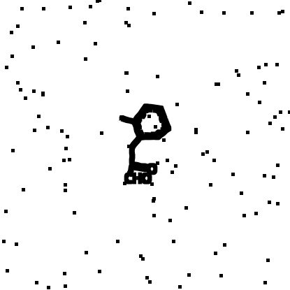 Cc1ccccc1CC(=O)C=O